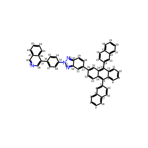 c1ccc2cc(-c3c4ccccc4c(-c4ccc5ccccc5c4)c4cc(-c5ccc6nn(-c7ccc(-c8cncc9ccccc89)cc7)nc6c5)ccc34)ccc2c1